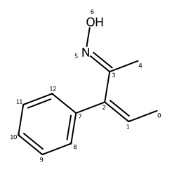 CC=C(C(C)=NO)c1ccccc1